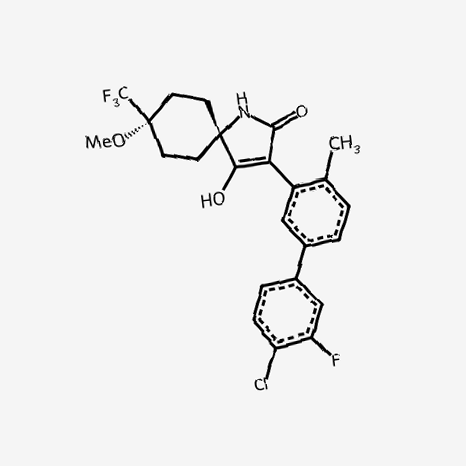 CO[C@]1(C(F)(F)F)CC[C@@]2(CC1)NC(=O)C(c1cc(-c3ccc(Cl)c(F)c3)ccc1C)=C2O